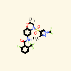 Cc1nn(C(F)F)cc1S(=O)(=O)N1C[C@H](C)Oc2ccc(NC(=O)c3c(F)cccc3C(F)(F)F)cc21